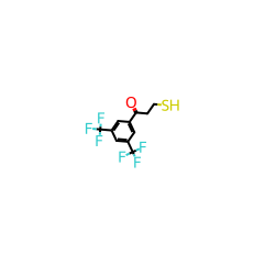 O=C(CCS)c1cc(C(F)(F)F)cc(C(F)(F)F)c1